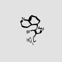 O=C(O)c1cnn(-c2cccc3ncccc23)c1Br